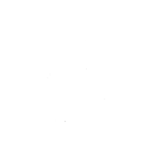 CCCCC1C(=O)OC(=O)C1C